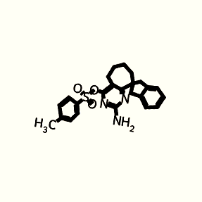 Cc1ccc(S(=O)(=O)Oc2nc(N)nc3c2CCCCC32Cc3ccccc3C2)cc1